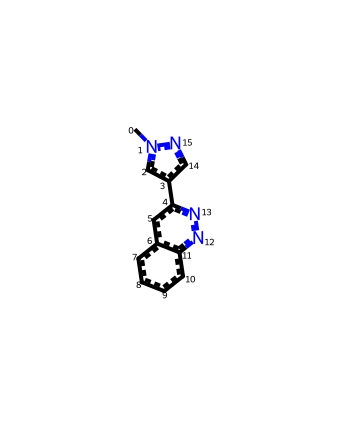 Cn1cc(-c2cc3ccccc3nn2)cn1